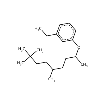 CCc1cccc(OC(C)CCC(C)CCC(C)(C)C)c1